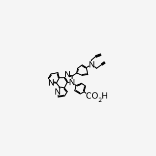 C#CCN(CC#C)c1ccc(-c2nc3c4cccnc4c4ncccc4c3n2-c2ccc(C(=O)O)cc2)cc1